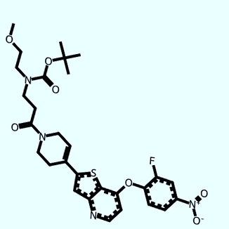 COCCN(CCC(=O)N1CC=C(c2cc3nccc(Oc4ccc([N+](=O)[O-])cc4F)c3s2)CC1)C(=O)OC(C)(C)C